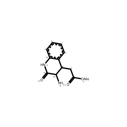 COC(=O)CC1c2ccccc2NC(=O)C1N